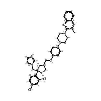 Cc1nc2ccccc2nc1N1CCN(c2ccc(OCC3COC(Cn4ccnc4)(c4ccc(Cl)cc4Cl)O3)cc2)CC1